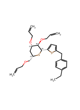 C=CCOC[C@@H]1C[C@H](OCC=C)[C@@H](OCC=C)[C@H](c2ccc(Cc3ccc(CC)cc3)s2)S1